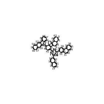 C1=CC2C=Cc3c(oc4c3C(c3nc(-c5ccc6ccccc6c5)nc(-c5ccc6c(ccc7ccccc76)c5)n3)=CCC4n3c4ccccc4c4cc5ccccc5cc43)C2C=C1